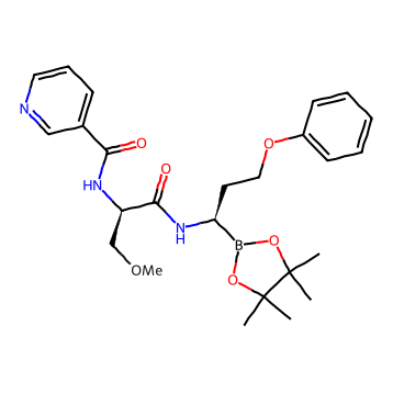 COC[C@@H](NC(=O)c1cccnc1)C(=O)N[C@@H](CCOc1ccccc1)B1OC(C)(C)C(C)(C)O1